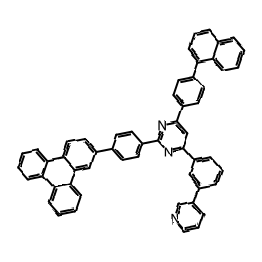 c1cncc(-c2cccc(-c3cc(-c4ccc(-c5cccc6ccccc56)cc4)nc(-c4ccc(-c5ccc6c7ccccc7c7ccccc7c6c5)cc4)n3)c2)c1